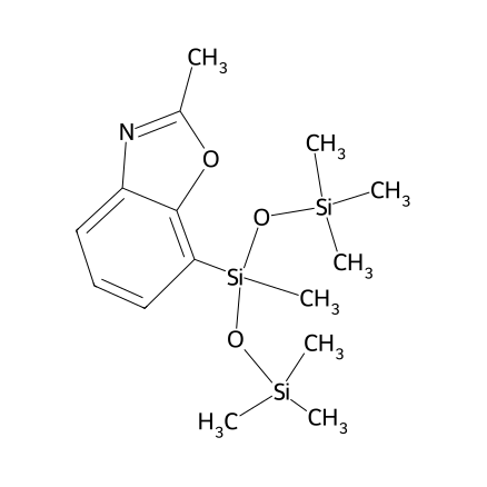 Cc1nc2cccc([Si](C)(O[Si](C)(C)C)O[Si](C)(C)C)c2o1